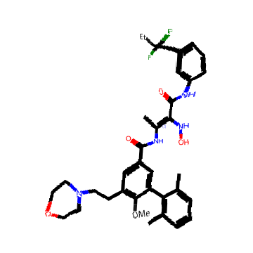 CCC(F)(F)c1cccc(NC(=O)/C(NO)=C(\C)NC(=O)c2cc(CCN3CCOCC3)c(OC)c(-c3c(C)cccc3C)c2)c1